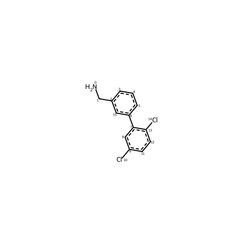 NCc1[c]ccc(-c2cc(Cl)ccc2Cl)c1